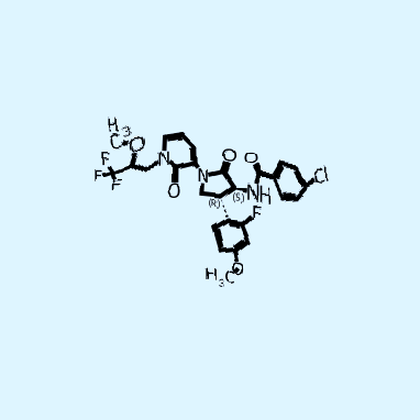 COc1ccc([C@@H]2CN(c3cccn(CC(OC)C(F)(F)F)c3=O)C(=O)[C@H]2NC(=O)c2ccc(Cl)cc2)c(F)c1